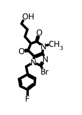 CN1C(=O)C(CCCO)C(=O)c2c1nc(Br)n2Cc1ccc(F)cc1